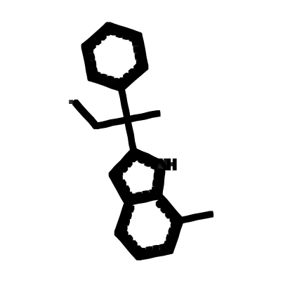 [CH2]CC(C)(c1ccccc1)c1cc2cccc(C)c2[nH]1